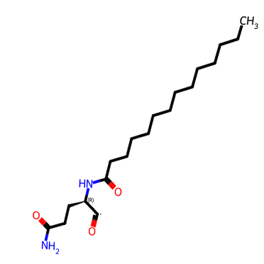 CCCCCCCCCCCCCC(=O)N[C@@H]([C]=O)CCC(N)=O